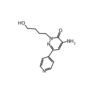 Nc1cc(-c2ccncc2)nn(CCCCO)c1=O